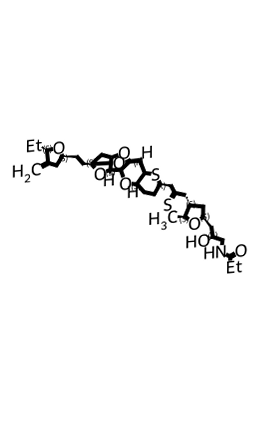 C=C1C[C@H](CC[C@@]23CC4OC5C(O[C@H]6CC[C@H](CC(=S)C[C@@H]7C[C@@H](C[C@H](O)CNC(=O)CC)O[C@H]7C)SC6[C@@H]5O2)[C@H]4O3)O[C@H]1CC